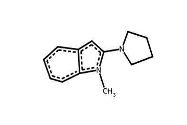 Cn1c(N2CCCC2)cc2ccccc21